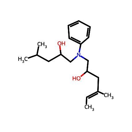 CC=C(C)CC(O)CN(CC(O)CC(C)C)c1ccccc1